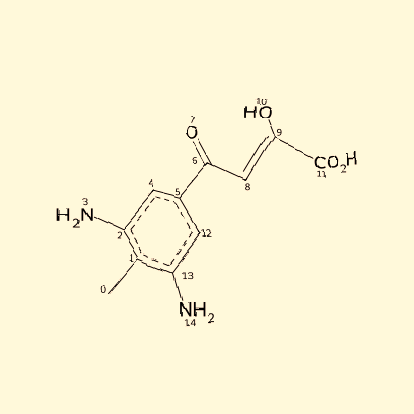 Cc1c(N)cc(C(=O)/C=C(\O)C(=O)O)cc1N